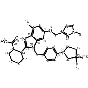 Cn1ccc(COc2cc(F)c3nc([C@H]4CCCC[C@H]4C(=O)O)n(Cc4ccc(N5CCC(F)(F)C5)cc4)c3c2)n1